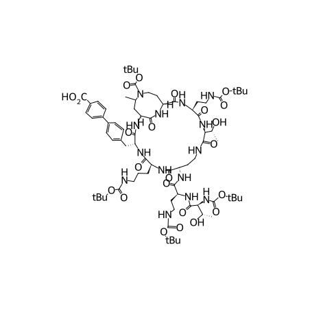 CC1C[C@@H]2NC(=O)[C@@H](Cc3ccc(-c4ccc(C(=O)O)cc4)cc3)NC(=O)[C@H](CCCNC(=O)OC(C)(C)C)NC(=O)[C@@H](NC(=O)[C@H](CCNC(=O)OC(C)(C)C)NC(=O)[C@@H](NC(=O)OC(C)(C)C)[C@H](C)O)CCNC(=O)[C@H]([C@@H](C)O)NC(=O)[C@H](CCNC(=O)OC(C)(C)C)NC(=O)[C@H](CCN1C(=O)OC(C)(C)C)NC2=O